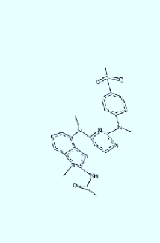 CC(=O)Nc1nc2c(N(C)c3ccnc(N(C)c4ccc(S(C)(=O)=O)cc4)n3)cccc2n1C